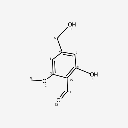 COc1cc(CO)cc(O)c1C=O